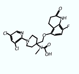 CN(C(=O)O)C1(COc2ccc(F)c3c2CCC(=O)N3)CCN(c2ncc(Cl)cc2Cl)CC1